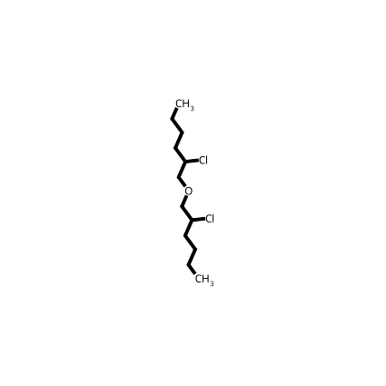 CCCCC(Cl)COCC(Cl)CCCC